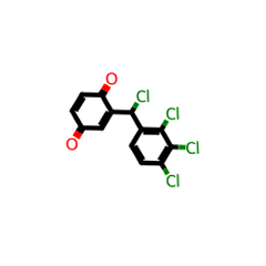 O=C1C=CC(=O)C(C(Cl)c2ccc(Cl)c(Cl)c2Cl)=C1